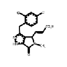 CN1C(=O)c2[nH]nc(Cc3ccc(Cl)cc3Cl)c2C1C=CC(=O)O